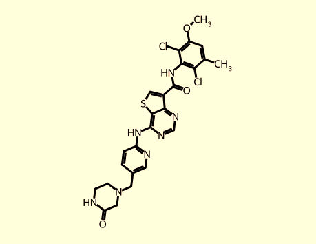 COc1cc(C)c(Cl)c(NC(=O)c2csc3c(Nc4ccc(CN5CCNC(=O)C5)cn4)ncnc23)c1Cl